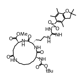 COC(=O)[C@@H]1CCC(=O)NCCCC[C@H](NC(=O)OC(C)(C)C)C(=O)N[C@@H](CCCNC(=N)NS(=O)(=O)c2c(C)c(C)c3c(c2C)CC(C)(C)O3)C(=O)N1